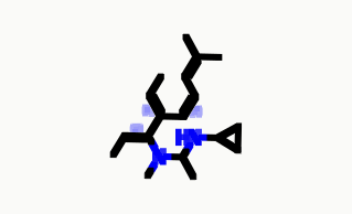 C/C=C(C(/C=C\C=C(C)C)=C/C)\N(C)C(C)NC1CC1